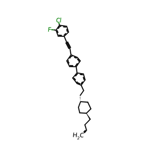 C=CCC[C@H]1CC[C@H](CCc2ccc(-c3ccc(C#Cc4ccc(Cl)c(F)c4)cc3)cc2)CC1